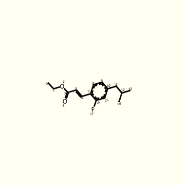 CCOC(=O)C=Cc1ccc(CC(C)C)cc1F